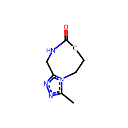 Cc1nnc2n1CCCC(=O)NC2